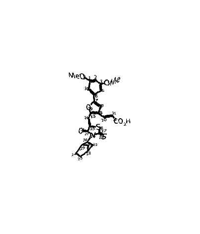 COc1cc(OC)cc(-c2cc(/C=C/C(=O)O)c(/C=C3\SC(=S)N(C4CC5CCC4C5)C3=O)o2)c1